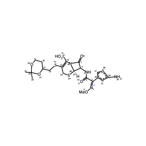 CO/N=C(\C(=O)NC1C(=O)N2C(C(=O)O)=C(SCC3CCOC(C)(C)O3)CS[C@H]12)c1csc(N)n1